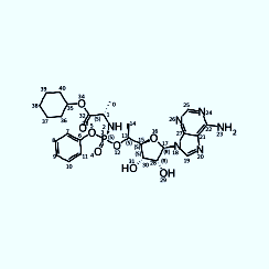 C[C@H](N[P@@](=O)(Oc1ccccc1)O[C@@H](C)[C@H]1O[C@@H](n2cnc3c(N)ncnc32)[C@H](O)[C@@H]1O)C(=O)OC1CCCCC1